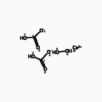 O=C([O-])O.O=C([O-])O.OO.[Ca+2]